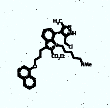 CCOC(=O)c1c(CCCOc2cccc3ccccc23)c2cccc(-c3c(C)n[nH]c3CCl)c2n1CCCCCNC